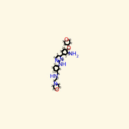 Nc1cc(-c2ccnc(Nc3cccc(CNCCN4CCOCC4)c3)n2)ccc1OC1CCOCC1